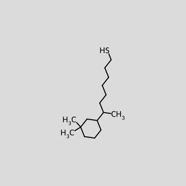 CC(CCCCCCS)C1CCCC(C)(C)C1